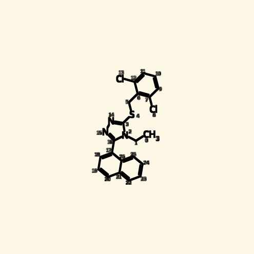 CCn1c(SCc2c(Cl)cccc2Cl)nnc1-c1cccc2ccccc12